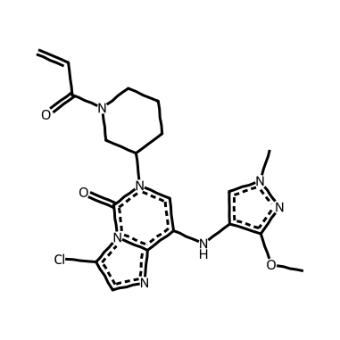 C=CC(=O)N1CCCC(n2cc(Nc3cn(C)nc3OC)c3ncc(Cl)n3c2=O)C1